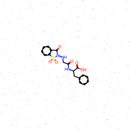 O=C(CNN1C(=O)c2ccccc2S1(=O)=O)NC(Cc1ccccc1)C(=O)O